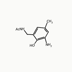 CC(=O)NCc1cc(C)cc(N)c1O